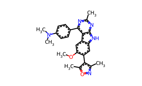 COc1cc2c(cc1-c1c(C)noc1C)[nH]c1nc(C)nc(-c3ccc(N(C)C)cc3)c12